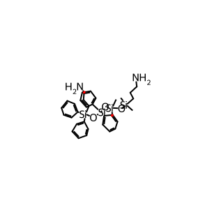 C[Si](C)(CCCN)O[Si](C)(C)O[Si](O[Si](CCCN)(c1ccccc1)c1ccccc1)(c1ccccc1)c1ccccc1